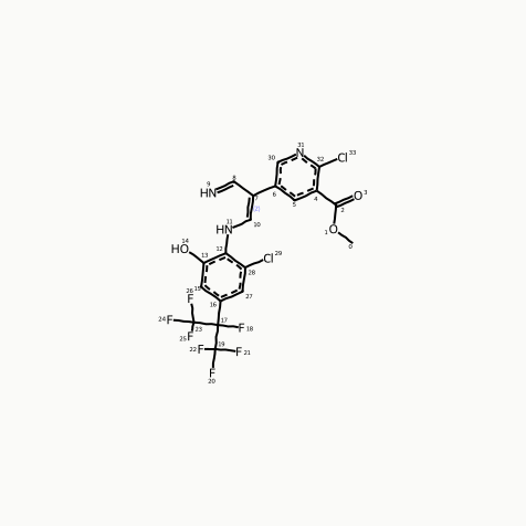 COC(=O)c1cc(/C(C=N)=C/Nc2c(O)cc(C(F)(C(F)(F)F)C(F)(F)F)cc2Cl)cnc1Cl